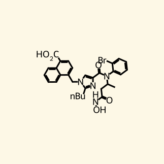 CCCCc1nc(C(=O)N(c2ccccc2Br)C(C)CC(=O)NO)cn1Cc1ccc(C(=O)O)c2ccccc12